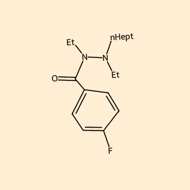 CCCCCCCN(CC)N(CC)C(=O)c1ccc(F)cc1